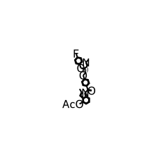 CC(=O)Oc1cccc2c1cc(C)n2C(=O)c1ccc(OC[C@@H]2CN(C)c3cc(F)ccc3O2)cc1